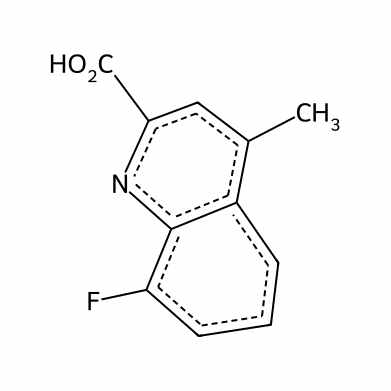 Cc1cc(C(=O)O)nc2c(F)cccc12